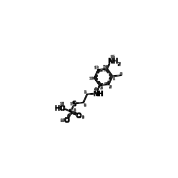 Cc1cc(NCCSS(=O)(=O)O)ccc1N